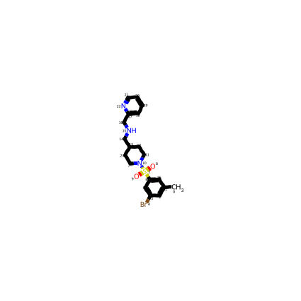 Cc1cc(Br)cc(S(=O)(=O)N2CCC(CNCc3ccccn3)CC2)c1